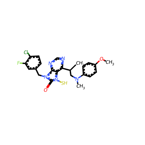 COc1ccc(N(C)CC(C)c2ncnc3c2n(S)c(=O)n3Cc2ccc(Cl)c(F)c2)cc1